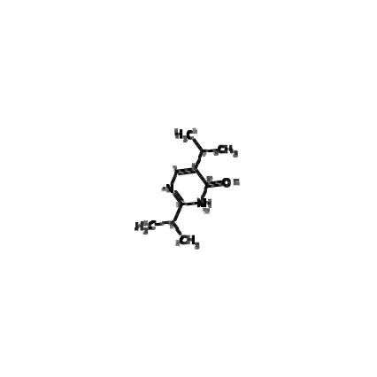 CC(C)c1ncc(C(C)C)c(=O)[nH]1